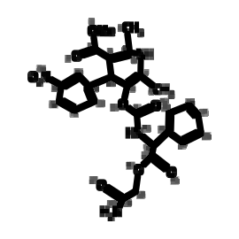 COC(=O)C1=C(C)NC(C)=C(OC(=O)NC(C(=O)OCC(N)=O)c2ccccc2)C1c1cccc([N+](=O)[O-])c1